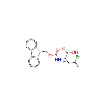 C=C(Br)C[C@@H](NC(=O)OCC1c2ccccc2-c2ccccc21)C(=O)O